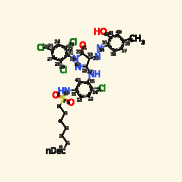 CCCCCCCCCCCCCCCCS(=O)(=O)Nc1ccc(Cl)c(NC2=NN(c3c(Cl)cc(Cl)cc3Cl)C(=O)C2/N=N/c2ccc(C)cc2O)c1